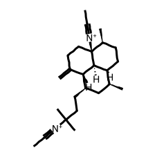 C=C1CC[C@@]2([N+]#CC)[C@H]3[C@H](CC[C@@H]2C)[C@@H](C)C[C@@H](CCC(C)(C)[N+]#CC)[C@H]13